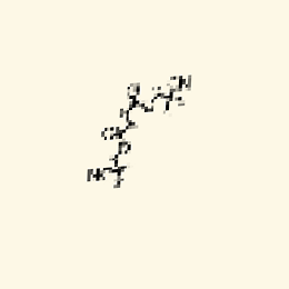 CC(C)(C#N)COC(=O)CCC(=O)OCC(C)(C)C#N